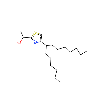 CCCCCCCC(CCCCCC)c1csc(C(C)O)n1